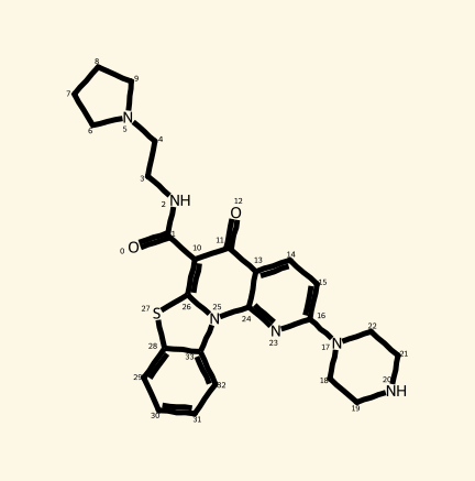 O=C(NCCN1CCCC1)c1c(=O)c2ccc(N3CCNCC3)nc2n2c1sc1ccccc12